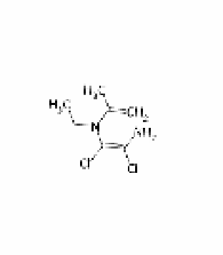 C=C(C)N(CC)/C(Cl)=C(\N)Cl